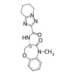 CN1C(=O)[C@@H](NC(=O)c2nc3n(n2)CCCC3)COc2ccccc21